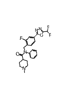 CN1CCC(C(=O)N(Cc2ccc(-c3nnc(C(F)F)o3)cc2F)c2ccccc2)CC1